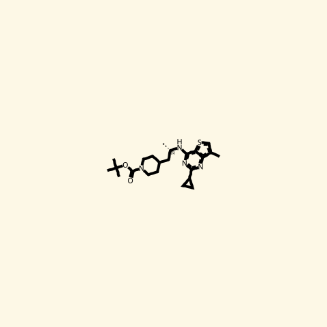 Cc1csc2c(N[C@@H](C)CC3CCN(C(=O)OC(C)(C)C)CC3)nc(C3CC3)nc12